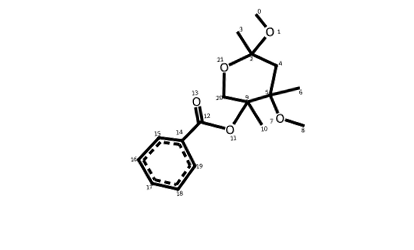 COC1(C)CC(C)(OC)C(C)(OC(=O)c2ccccc2)CO1